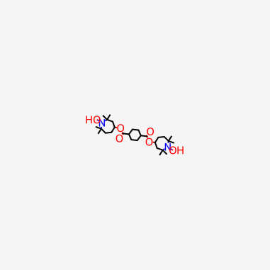 CC1(C)CCC(OC(=O)C2CCC(C(=O)OC3CCC(C)(C)N(O)C(C)(C)C3)CC2)CC(C)(C)N1O